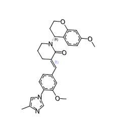 COc1ccc2c(c1)OCC[C@H]2N1CCC/C(=C\c2ccc(-n3cnc(C)c3)c(OC)c2)C1=O